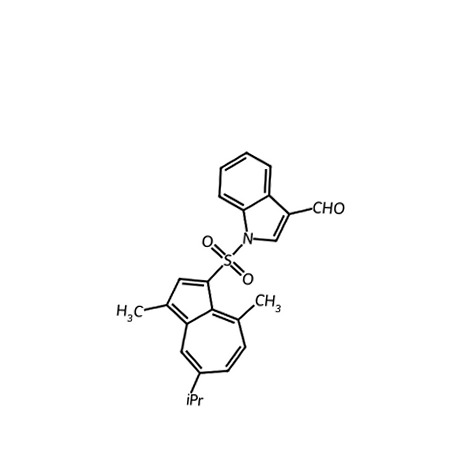 Cc1cc(S(=O)(=O)n2cc(C=O)c3ccccc32)c2c(C)ccc(C(C)C)cc1-2